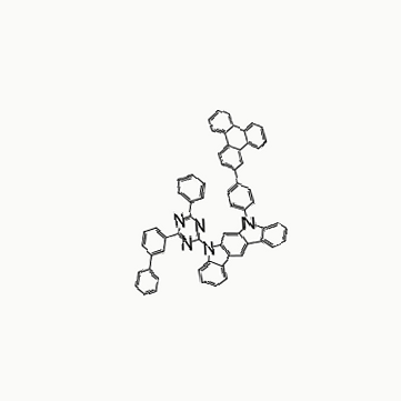 c1ccc(-c2cccc(-c3nc(-c4ccccc4)nc(-n4c5ccccc5c5cc6c7ccccc7n(-c7ccc(-c8ccc9c%10ccccc%10c%10ccccc%10c9c8)cc7)c6cc54)n3)c2)cc1